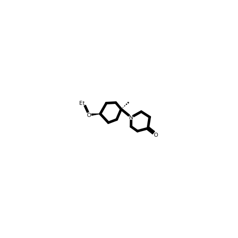 CCO[C@H]1CC[C@@](C)(N2CCC(=O)CC2)CC1